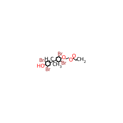 C=CC(=O)OCCOc1c(Br)cc(C(C)(C)c2cc(Br)c(O)c(Br)c2)cc1Br